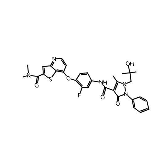 Cc1c(C(=O)Nc2ccc(Oc3ccnc4cc(C(=O)N(C)C)sc34)c(F)c2)c(=O)n(-c2ccccc2)n1CC(C)(C)O